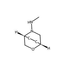 CNN1C[C@H]2CC[C@@H]1CO2